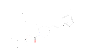 CC(C)(C)OC(=O)N1CCC(/C=C/c2cccc(Cl)c2)CC1